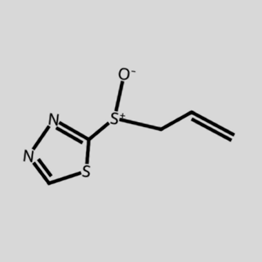 C=CC[S+]([O-])c1nncs1